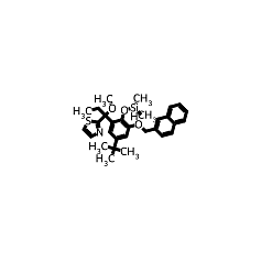 CCC(OC)(c1nccs1)c1cc(C(C)(C)C)cc(OCc2ccc3ccccc3c2)c1O[SiH](C)C